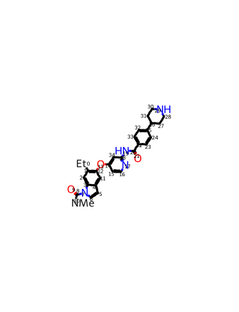 CCc1cc2c(ccn2C(=O)NC)cc1Oc1ccnc(NC(=O)c2ccc(C3CCNCC3)cc2)c1